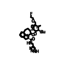 CC[C@H](C)[C@@H](C(=O)N[C@H]1CCc2cccc3c2N(C1=O)[C@H](C(=O)NCc1c[nH]nn1)C3)N(C)C(=O)COCCF